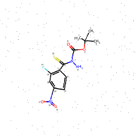 CC(C)(C)OC(=O)N(N)C(=S)c1ccc([N+](=O)[O-])cc1F